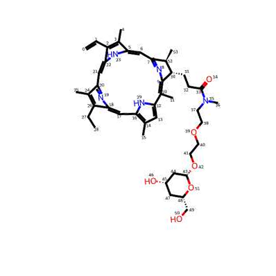 C=Cc1c(C)c2cc3nc(c(C)c4cc(C)c(cc5nc(cc1[nH]2)C(C)=C5CC)[nH]4)[C@@H](CCC(=O)N(C)CCOCCO[C@H]1C[C@@H](O)C[C@@H](CO)O1)[C@@H]3C